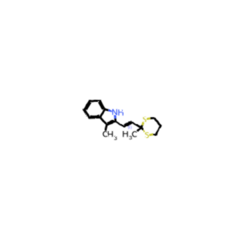 Cc1c(/C=C/C2(C)SCCCS2)[nH]c2ccccc12